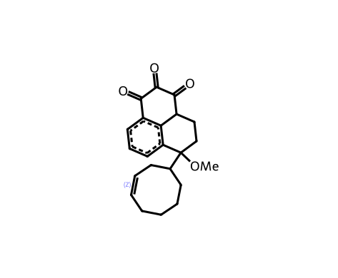 COC1(C2C/C=C\CCCC2)CCC2C(=O)C(=O)C(=O)c3cccc1c32